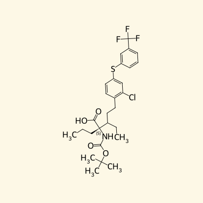 CCC[C@@](NC(=O)OC(C)(C)C)(C(=O)O)C(CC)CCc1ccc(Sc2cccc(C(F)(F)F)c2)cc1Cl